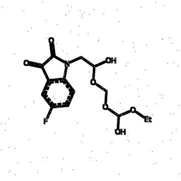 CCOC(O)OCOC(O)CN1C(=O)C(=O)c2cc(F)ccc21